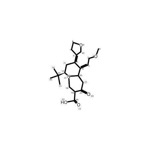 COC/C=C1\C(=C2\CCOC2)C[C@H](C(C)(C)C)N2CC(C(=O)O)C(=O)CC12